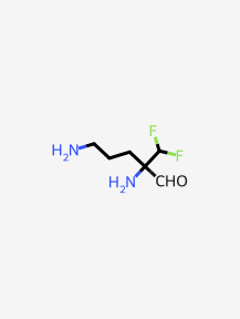 NCCCC(N)(C=O)C(F)F